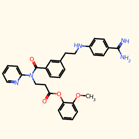 COc1ccccc1OC(=O)CCN(C(=O)c1cccc(CCNc2ccc(C(=N)N)cc2)c1)c1ccccn1